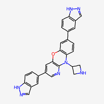 c1cc2c(cc1-c1ccc3[nH]ncc3c1)Oc1cc(-c3ccc4[nH]ncc4c3)cnc1N2C1CNC1